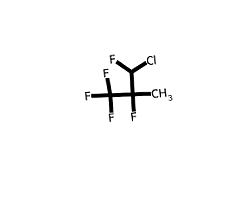 CC(F)(C(F)Cl)C(F)(F)F